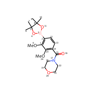 COc1c(B2OC(C)(C)C(C)(C)O2)ccc(C(=O)N2CCOCC2)c1OC